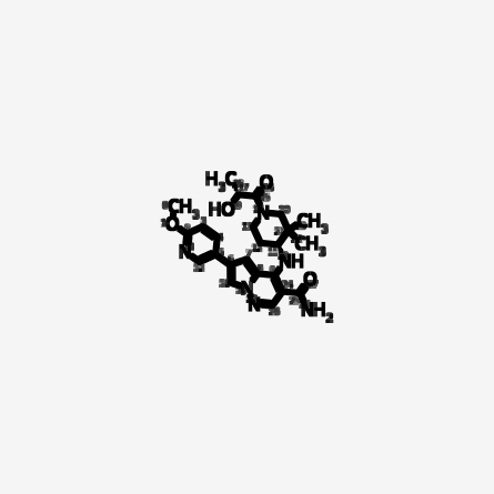 COc1ccc(-c2cc3c(N[C@@H]4CCN(C(=O)[C@@H](C)O)CC4(C)C)c(C(N)=O)cnn3c2)cn1